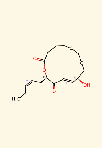 CC/C=C\C[C@H]1OC(=O)CCCCCCC[C@@H](O)/C=C/C1=O